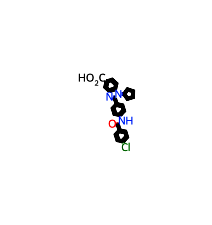 O=C(O)c1ccc2c(c1)nc(-c1ccc(NC(=O)c3ccc(Cl)cc3)cc1)n2C1CCCC1